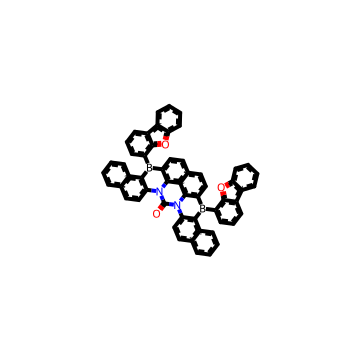 O=C1N2c3ccc4ccccc4c3B(c3cccc4c3oc3ccccc34)c3ccc4ccc5c(c4c32)N1c1ccc2ccccc2c1B5c1cccc2c1oc1ccccc12